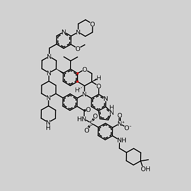 COc1cc(CN2CCN(C3CCN(C4CCNCC4)C(c4ccc(C(=O)NS(=O)(=O)c5ccc(NCC6CCC(C)(O)CC6)c([N+](=O)[O-])c5)c(N5c6cc7cc[nH]c7nc6O[C@H]6COCC[C@@H]65)c4)C3)[C@H](c3ccccc3C(C)C)C2)cnc1N1CCOCC1